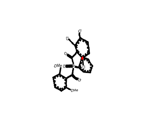 COc1cccc(OC)c1C(=O)P(=O)(C(=O)c1c(Cl)ccc(Cl)c1Cl)c1ccccc1